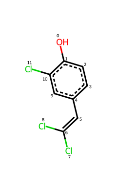 Oc1ccc(C=C(Cl)Cl)cc1Cl